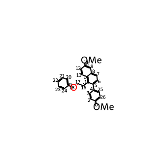 COc1ccc(-c2ccc3cc(OC)ccc3c2[CH]COc2ccccc2)cc1